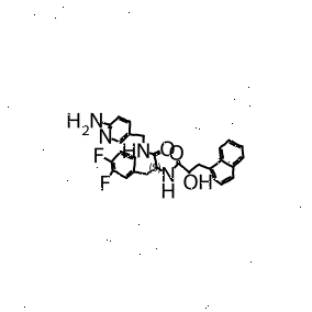 Nc1ccc(CNC(=O)[C@H](Cc2ccc(F)c(F)c2)NC(=O)C(O)Cc2cccc3ccccc23)cn1